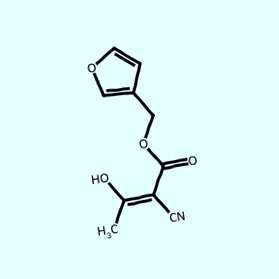 CC(O)=C(C#N)C(=O)OCc1ccoc1